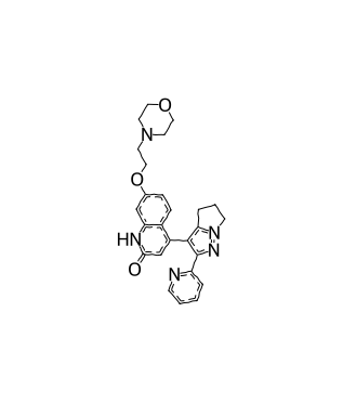 O=c1cc(-c2c(-c3ccccn3)nn3c2CCC3)c2ccc(OCCN3CCOCC3)cc2[nH]1